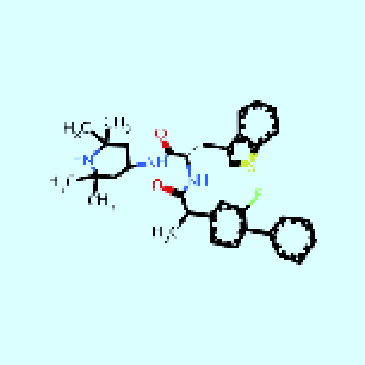 CC(C(=O)N[C@@H](Cc1csc2ccccc12)C(=O)NC1CC(C)(C)NC(C)(C)C1)c1ccc(-c2ccccc2)c(F)c1